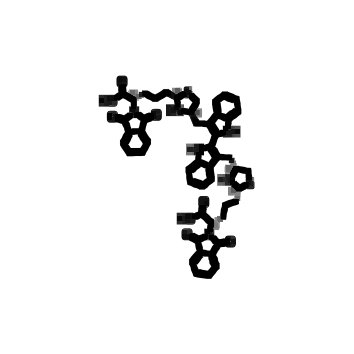 O=C(O)[C@H](CCC[C@@H]1N[C@H](Cc2c(-c3[nH]c4ccccc4c3C[C@@H]3CS[C@H](CCC[C@@H](C(=O)O)N4C(=O)c5ccccc5C4=O)N3)[nH]c3ccccc23)CS1)N1C(=O)c2ccccc2C1=O